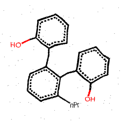 CCCc1cccc(-c2ccccc2O)c1-c1ccccc1O